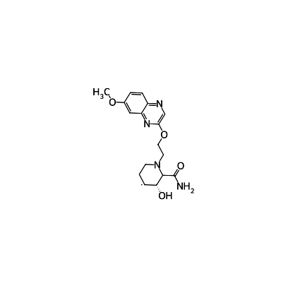 COc1ccc2ncc(OCCN3CC[CH][C@@H](O)C3C(N)=O)nc2c1